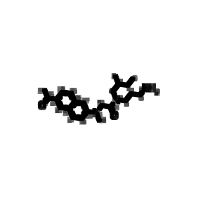 CCC(C)CN(CCCN)C(=O)CN(C)c1ccc2cc(C(C)=O)ccc2c1